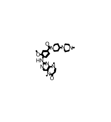 COc1cc(C(=O)N2CCC(N3CCN(C)CC3)CC2)ccc1Nc1ncc2c(n1)N(C)C=CC(=O)N2C